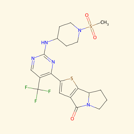 CS(=O)(=O)N1CCC(Nc2ncc(C(F)(F)F)c(-c3cc4c(s3)C3CCCN3C4=O)n2)CC1